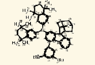 CC(C)(C)c1cc(-c2cc(N(c3ccc4c(c3)C(C)(C)CCC4(C)C)c3ccc4c(c3)C(C)(C)CCC4(C)C)cc3c2-c2ccccc2C32C3CC4CC5CC2C53C4)cc(C(C)(C)C)c1